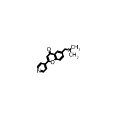 CN(C)Cc1ccc2oc(-c3ccncc3)cc(=O)c2c1